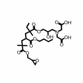 CCCCOC(=O)C(CC(C)(C)C(=O)OCC1CO1)CC(C)(CC)C(=O)OCC(O)CN(CC(=O)O)CC(=O)O